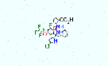 O=C(NC1CCCC1C(=O)O)N[C@@](Cc1ccccc1)(c1cc(F)cc(OC(F)(F)C(F)F)c1)c1ccc(Cl)cn1